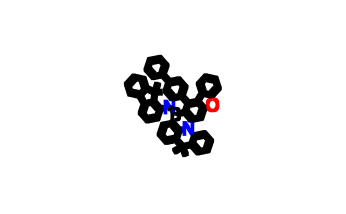 CC1(C)c2ccccc2N2c3cc4oc5ccccc5c4c4c3B(c3cccc1c32)N(c1cccc2c1C(C)(C)c1ccccc1-2)c1cc(-c2ccccc2)ccc1-4